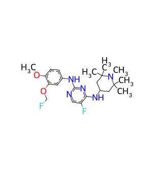 COc1ccc(Nc2ncc(F)c(NC3CC(C)(C)N(C)C(C)(C)C3)n2)cc1OCF